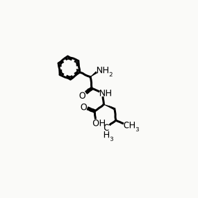 CC(C)C[C@H](NC(=O)[C@H](N)c1ccccc1)C(=O)O